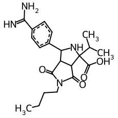 CCCCN1C(=O)C2C(c3ccc(C(=N)N)cc3)NC(C(=O)O)(C(C)C)C2C1=O